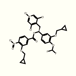 O=C(O[C@@H](Cc1c(Cl)c[n+]([O-])cc1Cl)c1ccc(OC(F)F)c(OCC2CC2)c1)c1ccc([N+](=O)[O-])c(OCC2CC2)c1